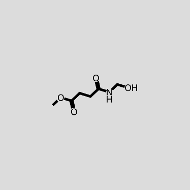 COC(=O)CCC(=O)NCO